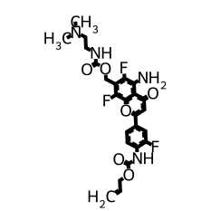 C=CCOC(=O)Nc1ccc(-c2cc(=O)c3c(N)c(F)c(COC(=O)NCCN(C)C)c(F)c3o2)cc1F